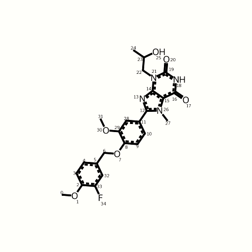 COc1ccc(COc2ccc(-c3nc4c(c(=O)[nH]c(=O)n4CC(C)O)n3C)cc2OC)cc1F